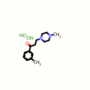 Cc1cccc(C(=O)CCN2CCN(C)CC2)c1.Cl.Cl